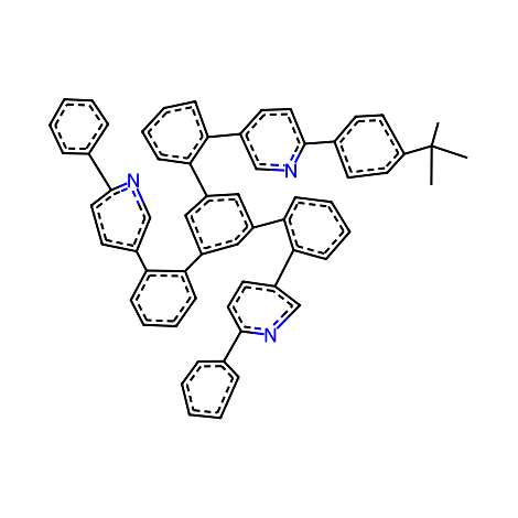 CC(C)(C)c1ccc(-c2ccc(-c3ccccc3-c3cc(-c4ccccc4-c4ccc(-c5ccccc5)nc4)cc(-c4ccccc4-c4ccc(-c5ccccc5)nc4)c3)cn2)cc1